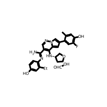 CCc1cc(O)ccc1N=C(N)c1cnn2cc(-c3cc(F)c(O)cc3C)cc2c1N[C@H]1CCOC1.O=CO